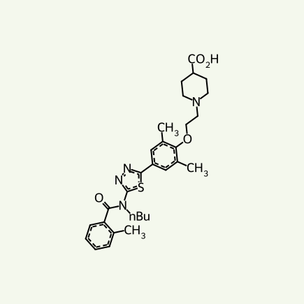 CCCCN(C(=O)c1ccccc1C)c1nnc(-c2cc(C)c(OCCN3CCC(C(=O)O)CC3)c(C)c2)s1